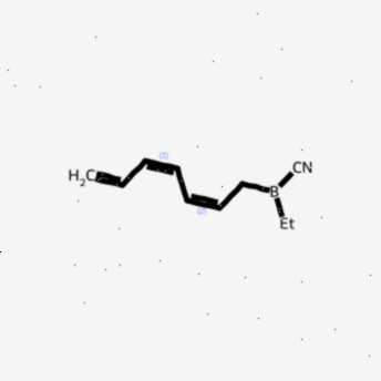 C=C/C=C\C=C/CB(C#N)CC